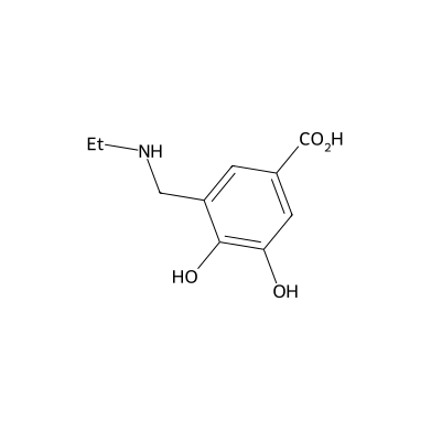 CCNCc1cc(C(=O)O)cc(O)c1O